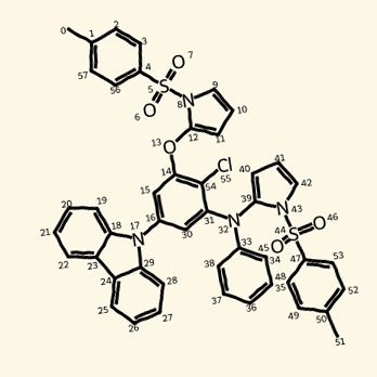 Cc1ccc(S(=O)(=O)n2cccc2Oc2cc(-n3c4ccccc4c4ccccc43)cc(N(c3ccccc3)c3cccn3S(=O)(=O)c3ccc(C)cc3)c2Cl)cc1